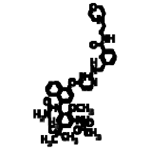 COc1c(NS(C)(=O)=O)cc(C(C)(C)C)cc1N(C(N)=O)c1ccc(Oc2ccnc(NCc3cccc(C(=O)NCCN4CCOCC4)c3)n2)c2ccccc12